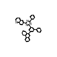 C1=Cc2c(-c3cc(-c4ccccc4)cc(-c4nc(-c5ccccc5)nc(-c5ccc6ncccc6c5)n4)c3)cc3ccccc3c2CC1